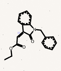 CCOC(=O)/C=C1\C(=O)N(Cc2ccccc2)c2ccccc21